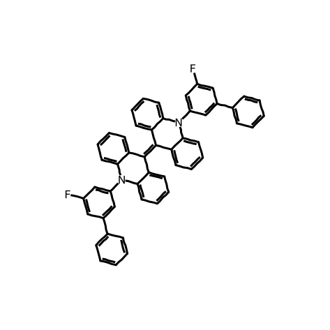 Fc1cc(-c2ccccc2)cc(N2c3ccccc3C(=C3c4ccccc4N(c4cc(F)cc(-c5ccccc5)c4)c4ccccc43)c3ccccc32)c1